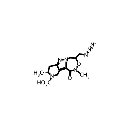 C[C@@H]1Cc2nn3c(c2CN1C(=O)O)C(=O)N(C)OC(CN=[N+]=[N-])C3